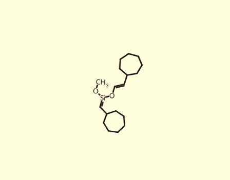 CO[Si](=CC1CCCCCC1)OC=CC1CCCCCC1